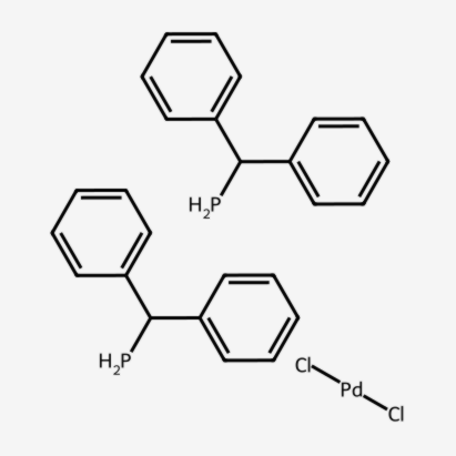 PC(c1ccccc1)c1ccccc1.PC(c1ccccc1)c1ccccc1.[Cl][Pd][Cl]